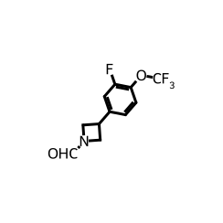 O=CN1CC(c2ccc(OC(F)(F)F)c(F)c2)C1